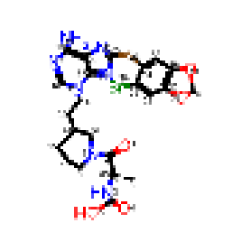 C[C@@H](NC(=O)O)C(=O)N1CCCC(CCn2cnc(N)c3nc(Sc4cc5c(cc4Br)OCO5)nc2-3)C1